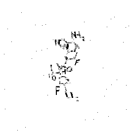 Nc1nc2cc(F)c(C(=O)N3CCC[C@@H]4Oc5c(ccc(C(F)(F)F)c5F)[C@@H]43)cc2n2cncc12